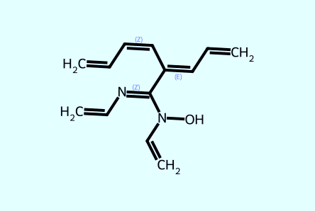 C=C\C=C/C(=C\C=C)C(=N/C=C)/N(O)C=C